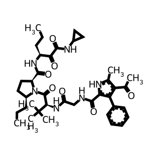 CCC[C@H]1CC[C@@H](C(=O)N[C@@H](CCC)C(=O)C(=O)NC2CC2)N1C(=O)[C@@H](NC(=O)CNC(=O)c1[nH]c(C)c(C(C)=O)c1-c1ccccc1)C(C)(C)C